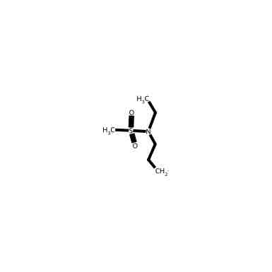 [CH2]CCN(CC)S(C)(=O)=O